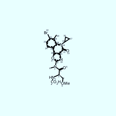 COC[C@@H](NC(=O)O)C(=O)N(C)c1nc2c(=O)n(C3CC3)c3c(C)c(Br)ccc3c2o1